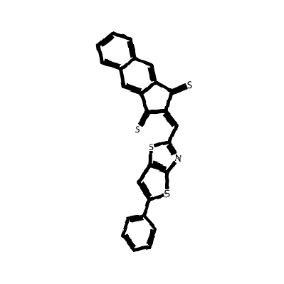 S=C1C(=Cc2nc3sc(-c4ccccc4)cc3s2)C(=S)c2cc3ccccc3cc21